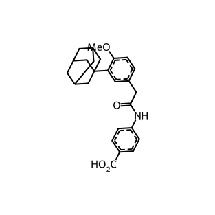 COc1ccc(CC(=O)Nc2ccc(C(=O)O)cc2)cc1C12CC3CC(CC(C3)C1)C2